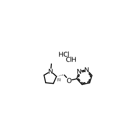 CN1CCC[C@H]1COc1cccnn1.Cl.Cl